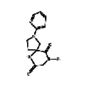 CC(C)N1CC(=O)NC2(CCN(c3ccccn3)C2)C1=O